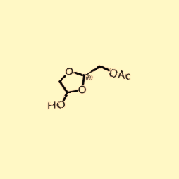 CC(=O)OC[C@@H]1OCC(O)O1